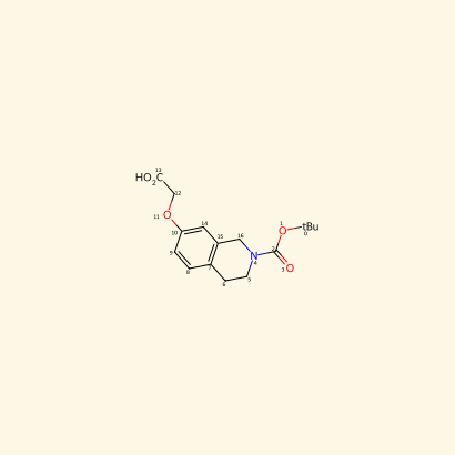 CC(C)(C)OC(=O)N1CCc2ccc(OCC(=O)O)cc2C1